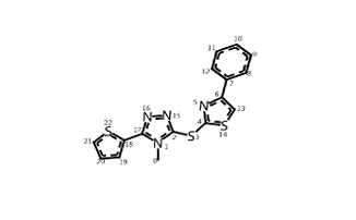 Cn1c(Sc2nc(-c3ccccc3)cs2)nnc1-c1cccs1